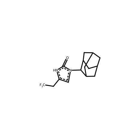 O=c1[nH]c(CC(F)(F)F)cn1C1C2CC3CC(C2)CC1C3